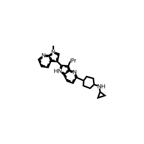 CC(C)c1c(-c2cn(C)c3ncccc23)[nH]c2ccc(C3CCC(NC4CC4)CC3)nc12